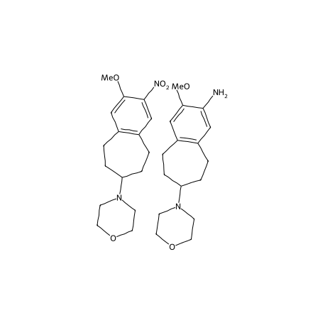 COc1cc2c(cc1N)CCC(N1CCOCC1)CC2.COc1cc2c(cc1[N+](=O)[O-])CCC(N1CCOCC1)CC2